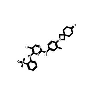 Cc1cc(Nc2ncc(Cl)c(Nc3ccccc3P(C)(C)=O)n2)ccc1N1CC2(CCC(=O)CC2)C1